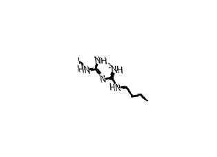 CCCCNC(=N)/N=C(\N)NI